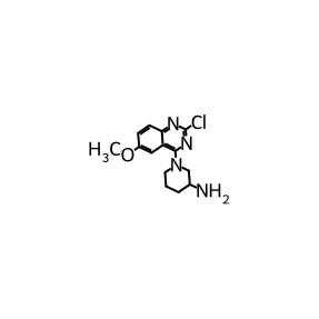 COc1ccc2nc(Cl)nc(N3CCCC(N)C3)c2c1